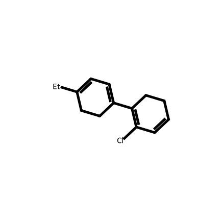 CCC1=CC=C(C2=C(Cl)C=CCC2)CC1